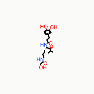 CC(C)C(=O)[C@H](CCCCNC(=O)CO)NC(=O)CCc1ccc(O)c(O)c1